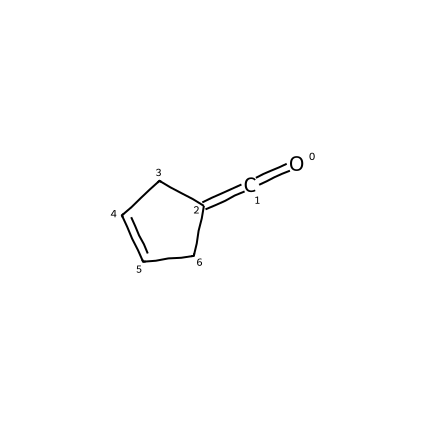 O=C=C1CC=CC1